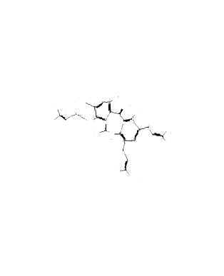 CC(C)=CCOc1c(C)cc(O)c2c1C(O)Oc1c(CC=C(C)C)cc(CC=C(C)C)c(O)c1C2=O